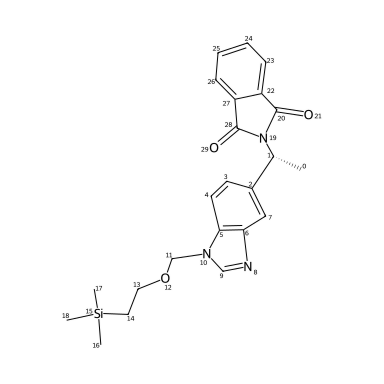 C[C@H](c1ccc2c(c1)ncn2COCC[Si](C)(C)C)N1C(=O)c2ccccc2C1=O